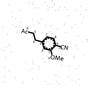 COc1cc(CCC(C)=O)ccc1C#N